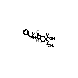 C=CSC1(C(=O)O)CS[C@@H]2C(NC(=O)Cc3ccccc3)C(=O)N2C1